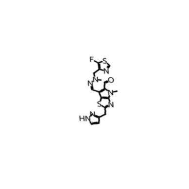 CN(Cc1ncsc1F)/N=C\c1c(C=O)n(C)c2nc(Cc3cc[nH]n3)sc12